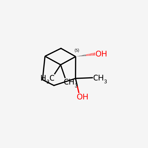 CC1(O)CCC2C[C@]1(O)C2(C)C